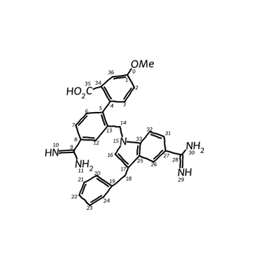 COc1ccc(-c2ccc(C(=N)N)cc2Cn2cc(Cc3ccccc3)c3cc(C(=N)N)ccc32)c(C(=O)O)c1